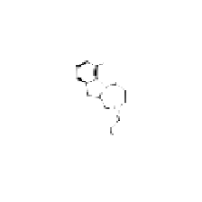 CC(=O)CCN1CCCN2c3c(F)cccc3CC2C1